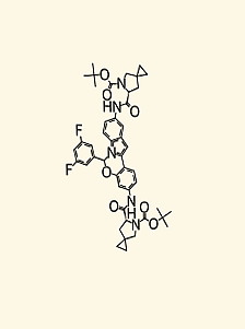 CC(C)(C)OC(=O)N1CC2(CC2)C[C@H]1C(=O)Nc1ccc2c(c1)OC(c1cc(F)cc(F)c1)n1c-2cc2cc(NC(=O)[C@@H]3CC4(CC4)CN3C(=O)OC(C)(C)C)ccc21